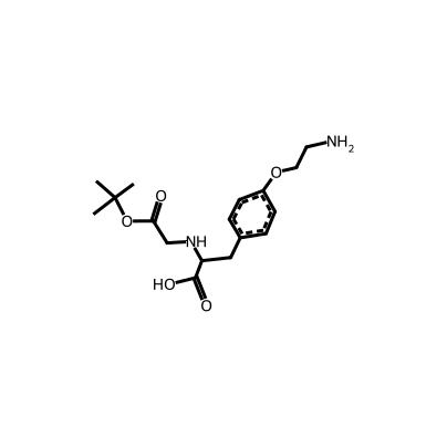 CC(C)(C)OC(=O)CNC(Cc1ccc(OCCN)cc1)C(=O)O